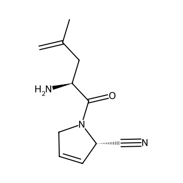 C=C(C)C[C@H](N)C(=O)N1CC=C[C@H]1C#N